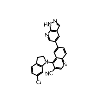 N#Cc1cnc2ccc(-c3cnc4[nH]ncc4c3)cc2c1N1CCc2ccc(Cl)cc21